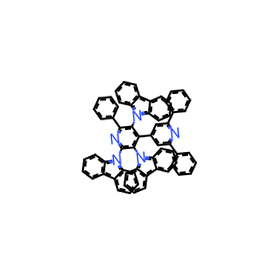 c1ccc(-c2cc(-c3c(-n4c5ccccc5c5ccccc54)c(-c4ccccc4)nc(-n4c5ccccc5c5ccccc54)c3-n3c4ccccc4c4ccccc43)cc(-c3ccccc3)n2)cc1